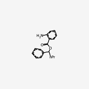 CCCC(OC(=O)c1ccccc1N)c1ccccc1